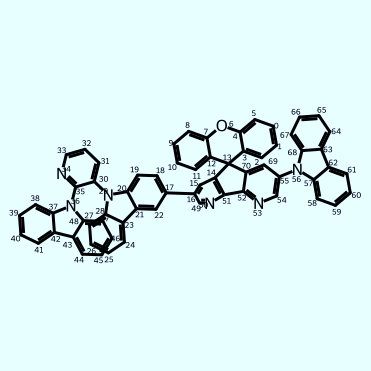 c1ccc2c(c1)Oc1ccccc1C21c2cc(-c3ccc4c(c3)c3ccccc3n4-c3cccnc3-n3c4ccccc4c4ccccc43)cnc2-c2ncc(-n3c4ccccc4c4ccccc43)cc21